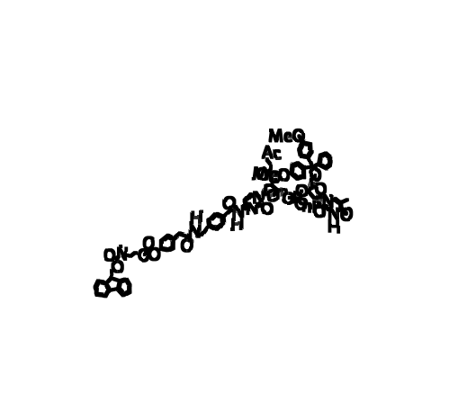 CCCOP(OC[C@H]1O[C@@H](n2ccc(NC(=O)c3ccc(CNC(=O)Cc4ccc(OC(=O)OCCN(C)C(=O)OCC5c6ccccc6-c6ccccc65)cc4)cc3)nc2=O)CC1OC(=O)CCC(C)=O)OC1C[C@H](n2cc(C)c(=O)[nH]c2=O)O[C@@H]1COC(c1ccccc1)(c1ccc(OC)cc1)c1ccc(OC)cc1